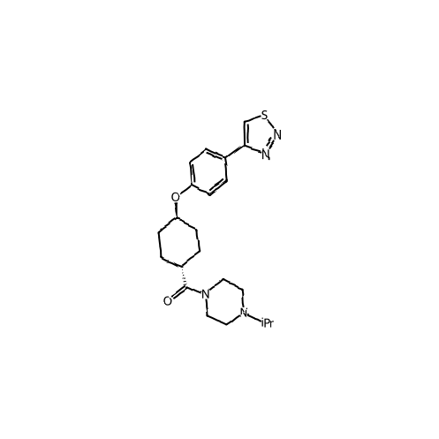 CC(C)N1CCN(C(=O)[C@H]2CC[C@H](Oc3ccc(-c4csnn4)cc3)CC2)CC1